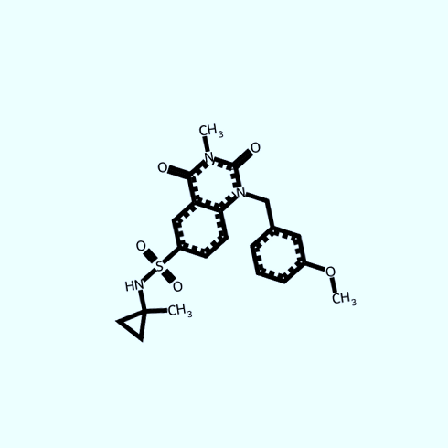 COc1cccc(Cn2c(=O)n(C)c(=O)c3cc(S(=O)(=O)NC4(C)CC4)ccc32)c1